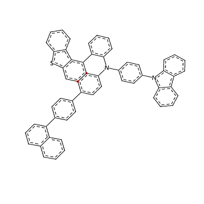 c1ccc(N(c2ccc(-c3ccc(-c4cccc5ccccc45)cc3)cc2)c2ccc(-n3c4ccccc4c4ccccc43)cc2)c(-c2cccc3sc4ccccc4c23)c1